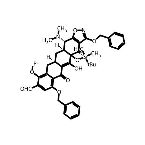 CC(C)Oc1c(C=O)cc(OCc2ccccc2)c2c1C[C@H]1C[C@H]3[C@H](N(C)C)c4onc(OCc5ccccc5)c4C(=O)C3(O[Si](C)(C)C(C)(C)C)C(O)=C1C2=O